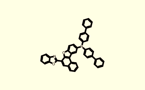 c1ccc(-c2ccc(N(c3ccc(-c4ccccc4)cc3)c3ccc4oc5c(-c6nc7ccccc7o6)cc6ccccc6c5c4c3)cc2)cc1